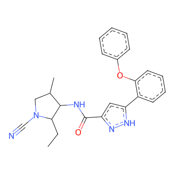 CCC1C(NC(=O)c2cc(-c3ccccc3Oc3ccccc3)[nH]n2)C(C)CN1C#N